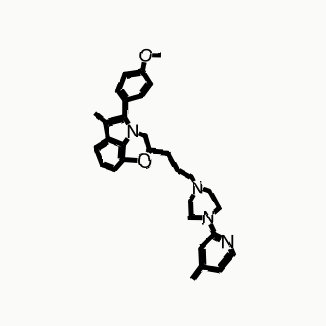 COc1ccc(-c2c(C)c3cccc4c3n2CC(CCCN2CCN(c3cc(C)ccn3)CC2)O4)cc1